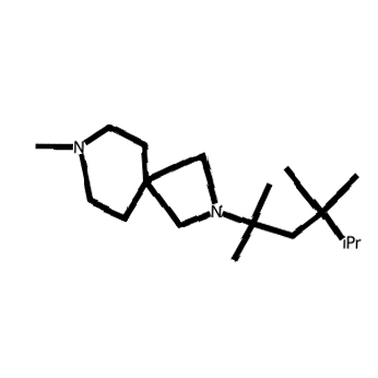 CC(C)C(C)(C)CC(C)(C)N1CC2(CCN(C)CC2)C1